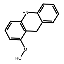 OOc1cccc2c1Cc1ccccc1N2